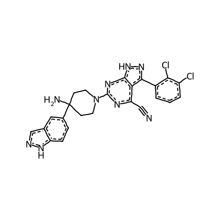 N#Cc1nc(N2CCC(N)(c3ccc4[nH]ncc4c3)CC2)nc2[nH]nc(-c3cccc(Cl)c3Cl)c12